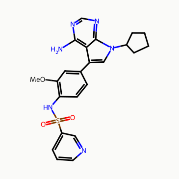 COc1cc(-c2cn(C3CCCC3)c3ncnc(N)c23)ccc1NS(=O)(=O)c1cccnc1